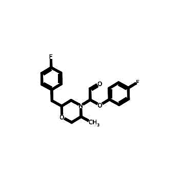 CC1COC(Cc2ccc(F)cc2)CN1C(C=O)Oc1ccc(F)cc1